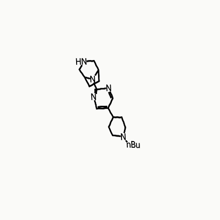 CCCCN1CCC(c2cnc(N3C4CCC3CNC4)nc2)CC1